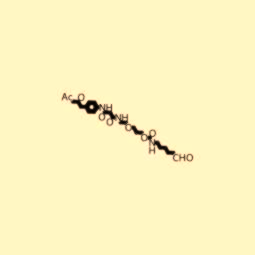 CC(=O)CC(=O)Cc1ccc(NC(=O)CC(=O)NCCOCCCOC(=O)NCCCCCC=O)cc1